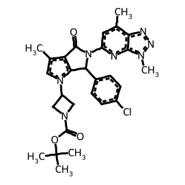 Cc1cn(C2CN(C(=O)OC(C)(C)C)C2)c2c1C(=O)N(c1cc(C)c3nnn(C)c3n1)C2c1ccc(Cl)cc1